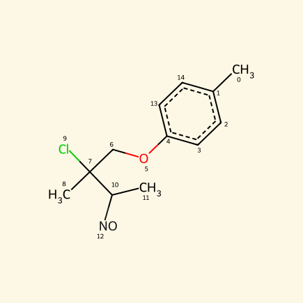 Cc1ccc(OCC(C)(Cl)C(C)N=O)cc1